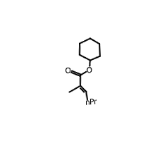 CCCC=C(C)C(=O)OC1CCCCC1